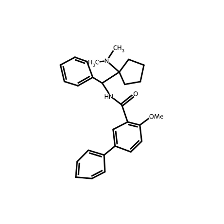 COc1ccc(-c2ccccc2)cc1C(=O)NC(c1ccccc1)C1(N(C)C)CCCC1